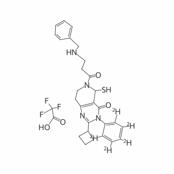 O=C(O)C(F)(F)F.[2H]c1c([2H])c([2H])c(-n2c(C3CCC3)nc3c(c2=O)C(S)N(C(=O)CCNCc2ccccc2)CC3)c([2H])c1[2H]